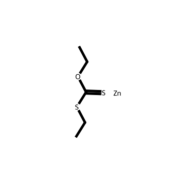 CCOC(=S)SCC.[Zn]